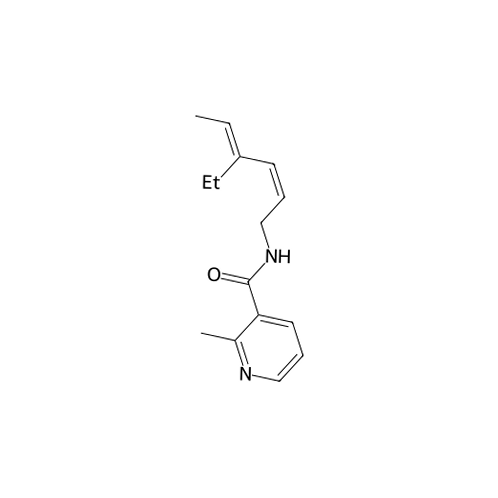 C/C=C(/C=C\CNC(=O)c1cccnc1C)CC